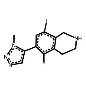 Cn1nncc1-c1cc(I)c2c(c1F)CCNC2